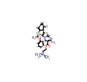 CC1=C(C(=O)OCCN(C)C)[C@H](c2ccccc2OC(C)C)N2C=C(c3c(Cl)cccc3Cl)SC2=N1